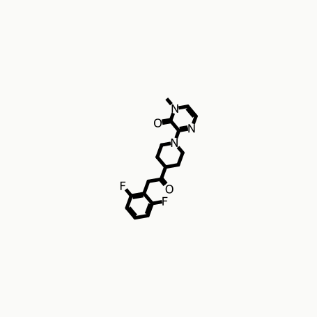 Cn1ccnc(N2CCC(C(=O)Cc3c(F)cccc3F)CC2)c1=O